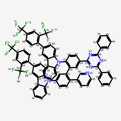 FC(F)(F)c1ccc(-c2ccc3c(c2)c2ccccc2n3-c2ccc(-c3cccnc3)c(-c3cc(-c4nc(-c5ccccc5)nc(-c5ccccc5)n4)ccc3-n3c4ccccc4c4cc(-c5ccc(C(F)(F)F)cc5C(F)(F)F)ccc43)c2)c(C(F)(F)F)c1